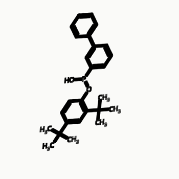 CC(C)(C)c1ccc(OP(O)c2cccc(-c3ccccc3)c2)c(C(C)(C)C)c1